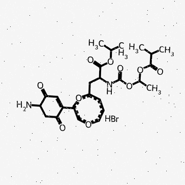 Br.CC(C)OC(=O)C(Cc1cccocc(C2=CC(=O)C(N)CC2=O)o1)NC(=O)OC(C)OC(=O)C(C)C